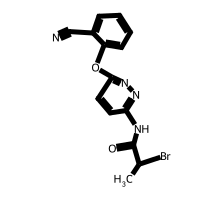 CC(Br)C(=O)Nc1ccc(Oc2ccccc2C#N)nn1